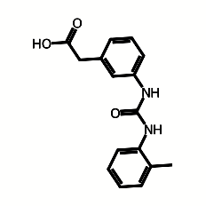 Cc1ccccc1NC(=O)Nc1cccc(CC(=O)O)c1